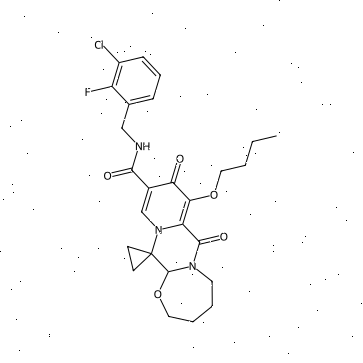 CCCCOc1c2n(cc(C(=O)NCc3cccc(Cl)c3F)c1=O)C1(CC1)C1OCCCCN1C2=O